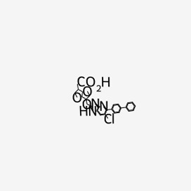 O=C(O)CC1COC2C(Oc3nc4nc(-c5ccc(-c6ccccc6)cc5)c(Cl)cc4[nH]3)COC12